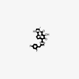 C[C@H]1CNC2C3CCc4c(-c5nnc(Cc6ccc(F)cc6F)s5)c(=O)c(O)c(n43)C(=O)N21